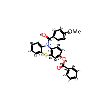 COc1ccc(C(=O)N2c3ccccc3Sc3cc(OC(=O)c4ccccc4)ccc32)cc1